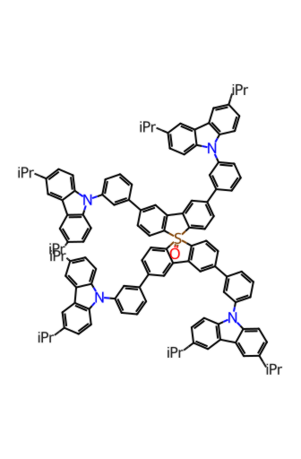 CC(C)c1ccc2c(c1)c1cc(C(C)C)ccc1n2-c1cccc(-c2ccc3c(c2)-c2cc(-c4cccc(-n5c6ccc(C(C)C)cc6c6cc(C(C)C)ccc65)c4)ccc2S32(=O)c3ccc(-c4cccc(-n5c6ccc(C(C)C)cc6c6cc(C(C)C)ccc65)c4)cc3-c3cc(-c4cccc(-n5c6ccc(C(C)C)cc6c6cc(C(C)C)ccc65)c4)ccc32)c1